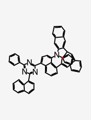 C1=c2ccccc2=CC2C1c1cc3ccccc3cc1N2c1ccc(-c2nc(-c3ccccc3)nc(-c3cccc4ccccc34)n2)c2cccc(-c3ccccc3)c12